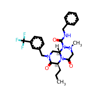 CCC[C@H]1C(=O)N(Cc2cccc(C(F)(F)F)c2)C[C@H]2N1C(=O)CN(C)N2C(=O)NCc1ccccc1